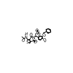 COc1ccc(C(CS(C)(=O)=O)N2C(=O)c3csc(NC(C)=O)c3C2=O)cc1OCc1ccccc1